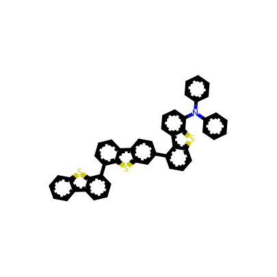 c1ccc(N(c2ccccc2)c2cccc3c2sc2cccc(-c4ccc5c(c4)sc4c(-c6cccc7c6sc6ccccc67)cccc45)c23)cc1